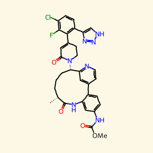 COC(=O)Nc1ccc2c(c1)NC(=O)[C@H](C)CCC[C@H](N1CCC(c3c(-c4c[nH]nn4)ccc(Cl)c3F)=CC1=O)c1cc-2ccn1